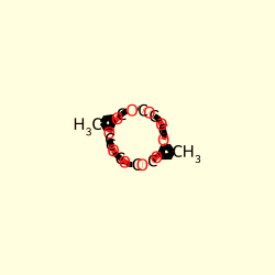 Cc1ccc2c(c1)OCCOCCOCCOCCOc1ccc(C)cc1OCCOCCOCCOCCO2